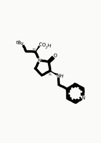 CC(C)(C)C[C@@H](C(=O)O)N1CC[C@H](NCc2ccncc2)C1=O